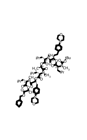 CC(C)C[C@@H](C(=O)O[C@H](CCc1ccc(N2CCOCC2)cc1)C(=O)N(C)[C@@H](CC(C)C)C(=O)O[C@H](C)C(=O)N(C)[C@@H](CC(C)C)C(=O)O[C@H](Cc1ccc(N2CCOCC2)cc1)C(=O)N(C)[C@@H](CC(C)C)C(=O)O[C@H](C)C(=O)OCc1ccccc1)N(C)C(=O)OC(C)(C)C